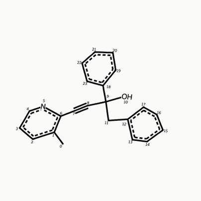 Cc1cccnc1C#CC(O)(Cc1ccccc1)c1ccccc1